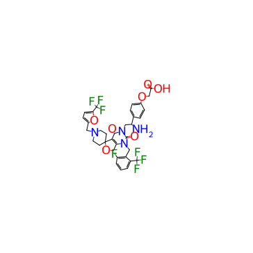 NC(Cn1c(=O)c2c(n(Cc3c(F)cccc3C(F)(F)F)c1=O)COC21CCN(Cc2ccc(C(F)(F)F)o2)CC1)c1ccc(OCC(=O)O)cc1